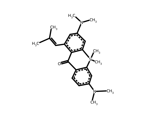 CC(C)=Cc1cc(N(C)C)cc2c1C(=O)c1ccc(N(C)C)cc1[Si]2(C)C